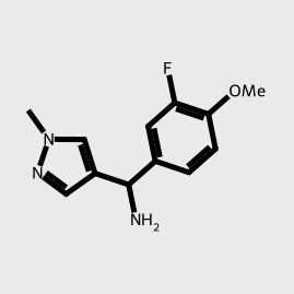 COc1ccc(C(N)c2cnn(C)c2)cc1F